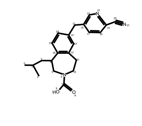 CC(C)CC1CN(C(=O)O)CCc2cc(Cc3ccc(C#N)nc3)ccc21